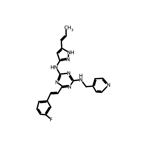 C/C=C/c1cc(Nc2nc(/C=C/c3cccc(F)c3)nc(NCc3ccncc3)n2)n[nH]1